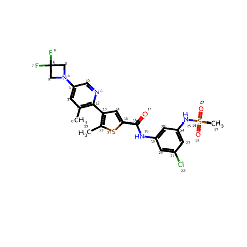 Cc1cc(N2CC(F)(F)C2)cnc1-c1cc(C(=O)Nc2cc(Cl)cc(NS(C)(=O)=O)c2)sc1C